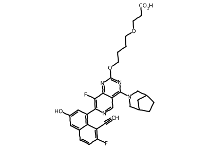 C#Cc1c(F)ccc2cc(O)cc(-c3ncc4c(N5CC6CCC(C6)C5)nc(OCCCCOCCC(=O)O)nc4c3F)c12